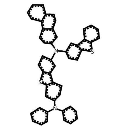 c1ccc(N(c2ccccc2)c2ccc3c(c2)sc2ccc(N(c4ccc5c(ccc6ccccc65)c4)c4ccc5sc6ccccc6c5c4)cc23)cc1